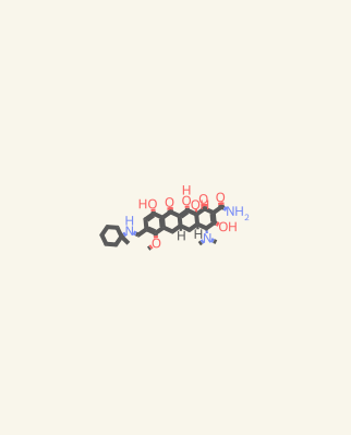 COc1c(CNC2(C)CCCCC2)cc(O)c2c1C[C@H]1C[C@H]3[C@H](N(C)C)C(O)=C(C(N)=O)C(=O)[C@@]3(O)C(O)=C1C2=O